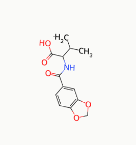 [CH2]C(C)C(NC(=O)c1ccc2c(c1)OCO2)C(=O)O